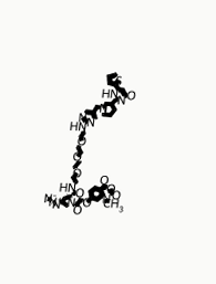 Cn1c(=O)oc(=O)c2ccc(OCC(=O)N3CC(N=[N+]=[N-])C[C@H]3C(=O)NCCOCCOCCOCCNc3ncc(CN4CCCC(c5nc(=O)cc(-c6cccs6)[nH]5)C4)cn3)cc21